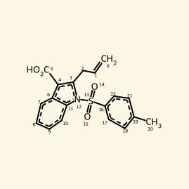 C=CCc1c(C(=O)O)c2ccccc2n1S(=O)(=O)c1ccc(C)cc1